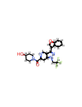 O=C(c1cc2c(cn1)c(-c1coc3ccccc13)nn2CC(F)(F)F)N1CCC(O)CC1